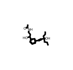 CCCC(O)(C#Cc1cccc(C(O)CCNC(C)=O)c1)CCC